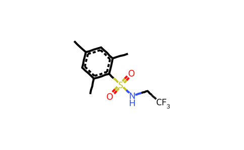 Cc1cc(C)c(S(=O)(=O)NCC(F)(F)F)c(C)c1